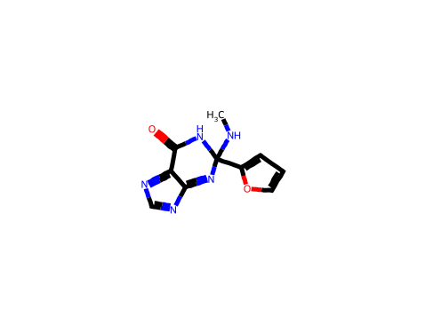 CNC1(c2ccco2)N=C2N=CN=C2C(=O)N1